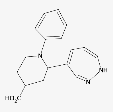 O=C(O)C1CCN(c2ccccc2)C(C2=CC=CNN=C2)C1